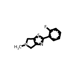 CN1Cc2nc(-c3ccccc3F)sc2C1